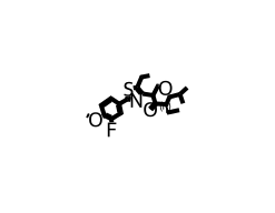 CCc1sc(-c2ccc(OC)c(F)c2)nc1C(C=O)C(=O)[C@H](CC)CC(C)C